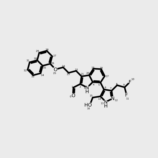 O=Cc1[nH]c2c(-c3c(CC(F)F)n[nH]c3CO)cccc2c1CCCOc1cccc2ccccc12